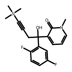 Cn1cccc(C(O)(CC#C[Si](C)(C)C)c2cc(F)ccc2F)c1=O